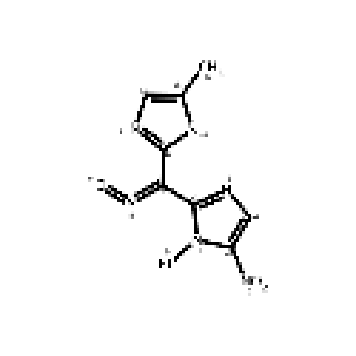 CCn1c([N+](=O)[O-])cnc1C(=S=O)c1ncc(C)s1